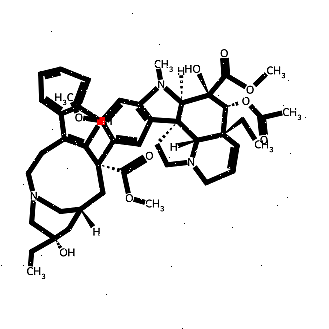 CC[C@]1(O)C[C@@H]2CN(CCc3c([nH]c4ccccc34)[C@@](C(=O)OC)(c3cc4c(cc3OC)N(C)[C@H]3[C@](O)(C(=O)OC)[C@H](OC(C)=O)[C@]5(CC)C=CCN6CC[C@]43[C@@H]65)C2)C1